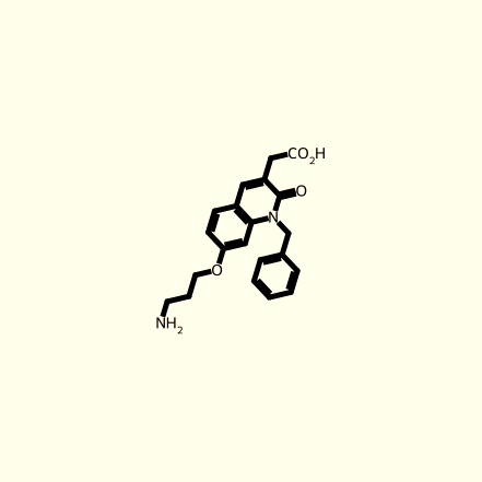 NCCCOc1ccc2cc(CC(=O)O)c(=O)n(Cc3ccccc3)c2c1